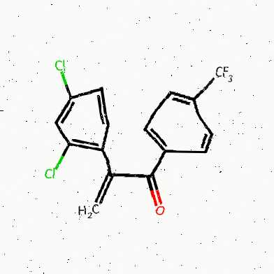 C=C(C(=O)c1ccc(C(F)(F)F)cc1)c1ccc(Cl)cc1Cl